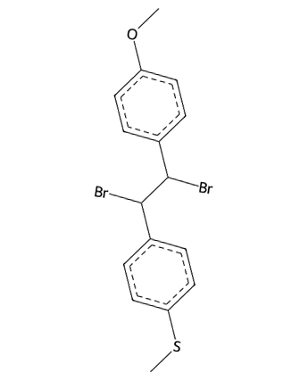 COc1ccc(C(Br)C(Br)c2ccc(SC)cc2)cc1